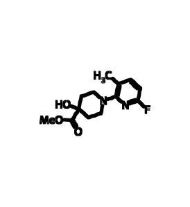 COC(=O)C1(O)CCN(c2nc(F)ccc2C)CC1